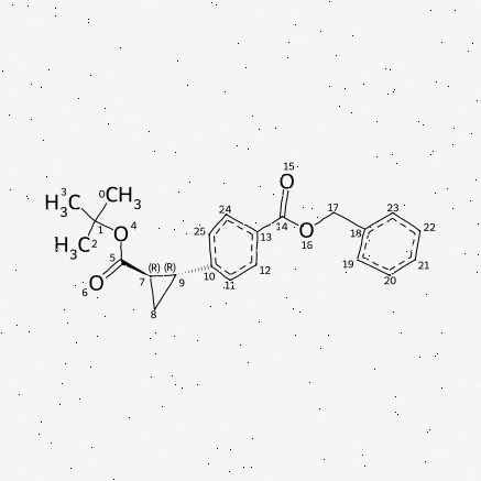 CC(C)(C)OC(=O)[C@@H]1C[C@H]1c1ccc(C(=O)OCc2ccccc2)cc1